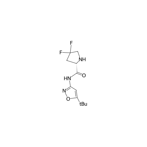 CC(C)(C)c1cc(NC(=O)[C@@H]2CC(F)(F)CN2)no1